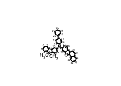 CC1(C)c2ccccc2-c2cc(N(c3ccc(-c4ccccc4)cc3)c3cc4oc5c6ccccc6ccc5c4cn3)ccc21